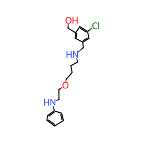 OCc1cc(Cl)cc(CNCCCCOCCNc2ccccc2)c1